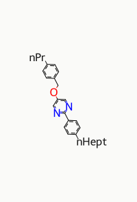 CCCCCCCc1ccc(-c2ncc(OCc3ccc(CCC)cc3)cn2)cc1